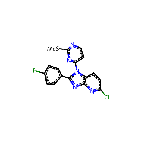 CSc1nccc(-n2c(-c3ccc(F)cc3)nc3nc(Cl)ccc32)n1